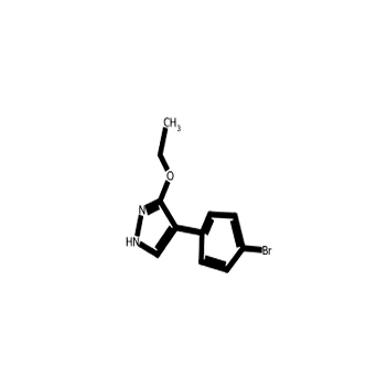 CCOc1n[nH]cc1-c1ccc(Br)cc1